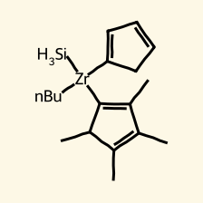 [CH2]CC[CH2][Zr]([SiH3])([C]1=CC=CC1)[C]1=C(C)C(C)=C(C)C1C